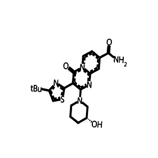 CC(C)(C)c1csc(-c2c(N3CCC[C@@H](O)C3)nc3cc(C(N)=O)ccn3c2=O)n1